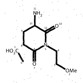 CC(=O)O.COCCN1C(=O)CCC(N)C1=O